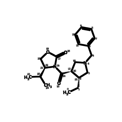 CC[C@H]1CN(Cc2ccccc2)C[C@H]1C(=O)N1C(=O)OC[C@@H]1C(C)C